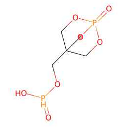 O=[PH](O)OCC12COP(=O)(OC1)OC2